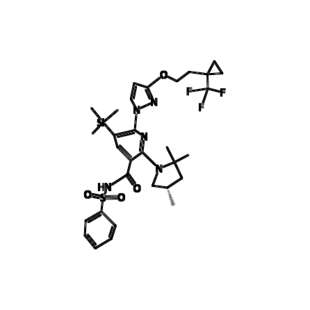 C[C@@H]1CN(c2nc(-n3ccc(OCCC4(C(F)(F)F)CC4)n3)c([Si](C)(C)C)cc2C(=O)NS(=O)(=O)c2ccccc2)C(C)(C)C1